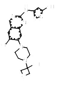 Cc1cc(Nc2ncc3cc(Cl)c(N4CCN(C5(C)COC5)CC4)cc3n2)sn1